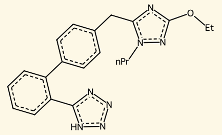 CCCn1nc(OCC)nc1Cc1ccc(-c2ccccc2-c2nnn[nH]2)cc1